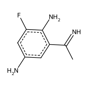 CC(=N)c1cc(N)cc(F)c1N